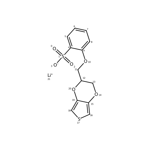 O=S(=O)([O-])c1ccccc1OCC1COc2cscc2O1.[Li+]